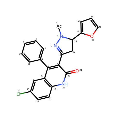 CC(=O)N1N=C(c2c(-c3ccccc3)c3cc(Cl)ccc3[nH]c2=O)CC1c1ccco1